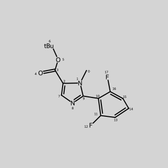 Cn1c(C(=O)OC(C)(C)C)cnc1-c1c(F)cccc1F